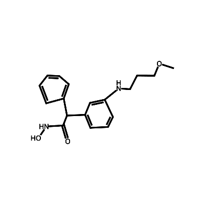 COCCCNc1cccc(C(C(=O)NO)c2ccccc2)c1